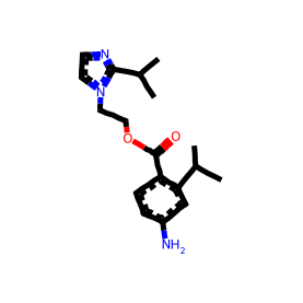 CC(C)c1cc(N)ccc1C(=O)OCCn1ccnc1C(C)C